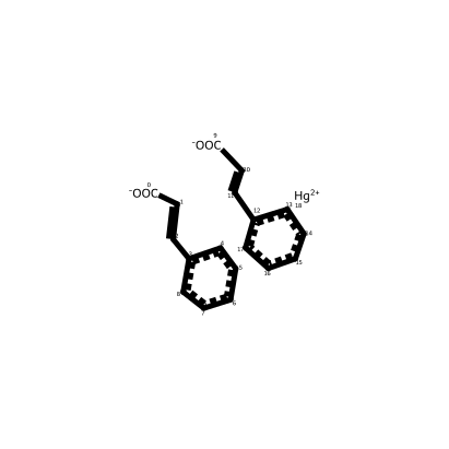 O=C([O-])C=Cc1ccccc1.O=C([O-])C=Cc1ccccc1.[Hg+2]